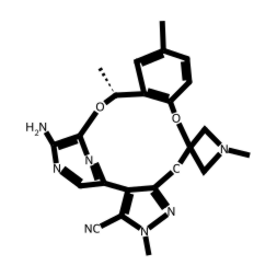 Cc1ccc2c(c1)[C@@H](C)Oc1nc(cnc1N)-c1c(nn(C)c1C#N)CC1(CN(C)C1)O2